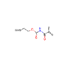 C=C(C)C(=O)NC(=O)OCCOC